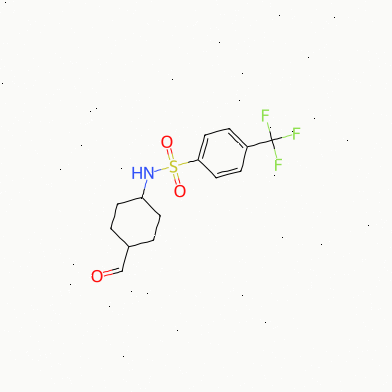 O=CC1CCC(NS(=O)(=O)c2ccc(C(F)(F)F)cc2)CC1